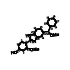 COc1cc(O)ccc1-c1nc2cc(C(OC)c3ccccc3)ccc2[nH]1